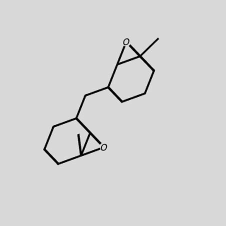 CC12CCCC(CC3CCCC4(C)OC34)C1O2